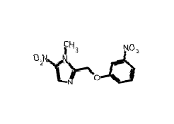 Cn1c([N+](=O)[O-])cnc1COc1cccc([N+](=O)[O-])c1